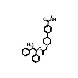 C=C(CN1CCC(c2ccc(C(=O)NC)cc2)CC1)O/C(=C(\N)c1ccccc1)c1ccccc1